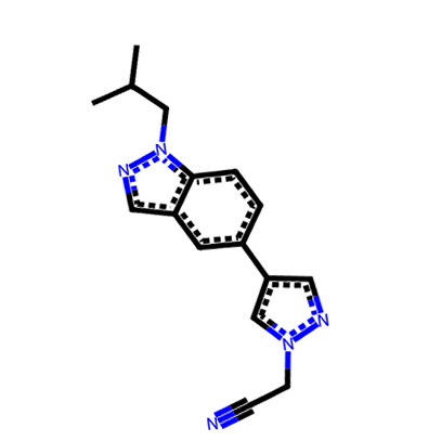 C[C](C)Cn1ncc2cc(-c3cnn(CC#N)c3)ccc21